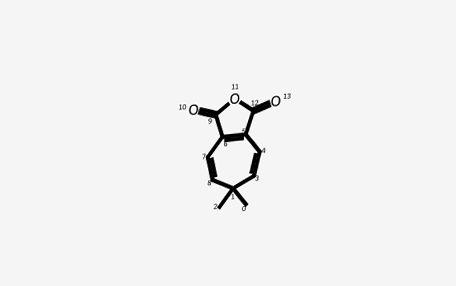 CC1(C)C=CC2=C(C=C1)C(=O)OC2=O